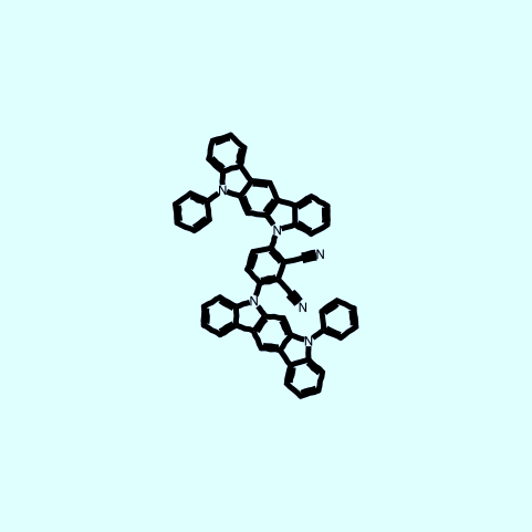 N#Cc1c(-n2c3ccccc3c3cc4c5ccccc5n(-c5ccccc5)c4cc32)ccc(-n2c3ccccc3c3cc4c5ccccc5n(-c5ccccc5)c4cc32)c1C#N